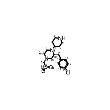 C[C@H]1CN(C2CCNCC2)[C@@H](Cc2ccc(Cl)cc2)CN1C[SH](=O)=O